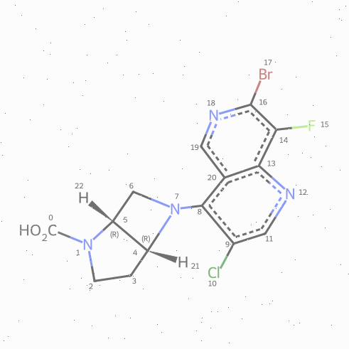 O=C(O)N1CC[C@@H]2[C@H]1CN2c1c(Cl)cnc2c(F)c(Br)ncc12